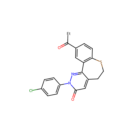 CCC(=O)c1ccc2c(c1)-c1nn(-c3ccc(Cl)cc3)c(=O)cc1CCS2